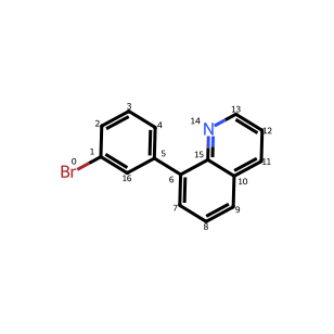 Brc1cccc(-c2cccc3cccnc23)c1